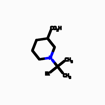 CCC(C)(C)N1CCCC(C(=O)O)C1